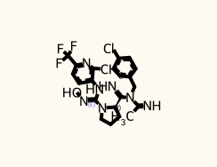 CC(=N)N(Cc1ccc(Cl)cc1)C(=N)[C@H]1CCCN1/C(=N/O)Nc1ccc(C(F)(F)F)nc1C